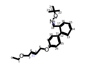 CCOC/C=C/COc1ccc(-c2ccccc2/C=N\OC(C)(C)C)cc1